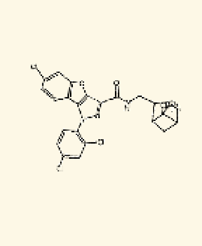 CC1(C)C2CCC(CNC(=O)c3nn(-c4ccc(Cl)cc4Cl)c4c3oc3cc(Cl)ccc34)C1C2